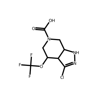 O=C(O)N1CC2NN=C(Cl)C2C(OC(F)(F)F)C1